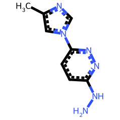 Cc1cn(-c2ccc(NN)nn2)cn1